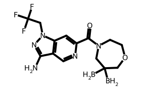 BC1(B)COCCN(C(=O)c2cc3c(cn2)c(N)nn3CC(F)(F)F)C1